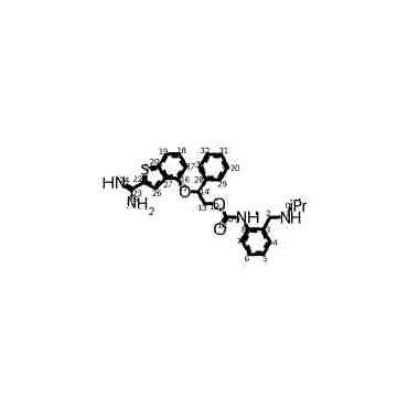 CC(C)NCc1ccccc1NC(=O)OCC(Oc1cccc2sc(C(=N)N)cc12)c1ccccc1